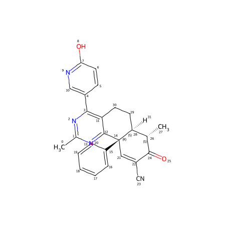 Cc1nc(-c2ccc(O)nc2)c2c(n1)[C@@]1(c3ccccc3)C=C(C#N)C(=O)[C@@H](C)[C@@H]1CC2